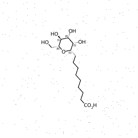 O=C(O)CCCCCCCC[C@@H]1O[C@H](CO)[C@@H](O)[C@H](O)[C@@H]1O